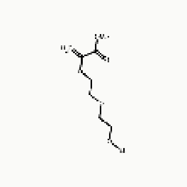 C=C(OCCOCCOCC)C(=O)OC